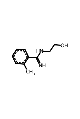 Cc1ccccc1C(=N)NCCO